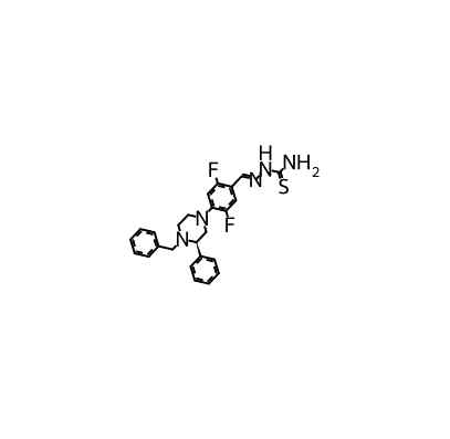 NC(=S)NN=Cc1cc(F)c(N2CCN(Cc3ccccc3)[C@H](c3ccccc3)C2)cc1F